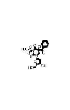 CC1(C(=O)c2ccccc2)CN([C@H]2C[C@H](O)[C@@H](CO)O2)C(=O)N(S(C)(=O)=O)C1=O